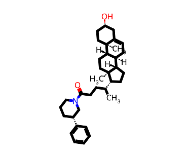 CC(CCC(=O)N1CCC[C@@H](c2ccccc2)C1)[C@H]1CC[C@H]2[C@@H]3CC=C4C[C@@H](O)CC[C@]4(C)[C@H]3CC[C@]12C